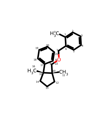 Cc1ccccc1COC[C@]1(C)CCC[C@]1(C)c1ccccc1